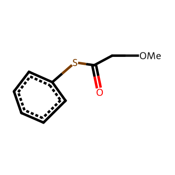 COCC(=O)Sc1ccccc1